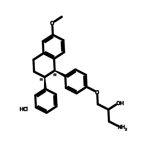 COc1ccc2c(c1)CC[C@H](c1ccccc1)[C@@H]2c1ccc(OCC(O)CN)cc1.Cl